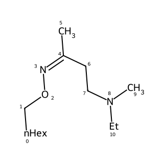 CCCCCCCO/N=C(/C)CCN(C)CC